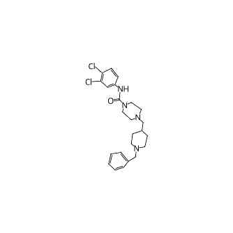 O=C(Nc1ccc(Cl)c(Cl)c1)N1CCN(CC2CCN(Cc3ccccc3)CC2)CC1